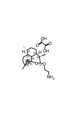 C[C@H]1[C@@H](OCCN)O[C@@H]2OC3(C)CC[C@H]4[C@H](C)CC[C@@H]1[C@@]24OO3.O=C(O)C(=O)O